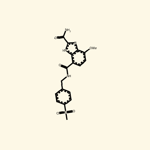 COc1ccc(C(=O)NCc2ccc(S(C)(=O)=O)cc2)c2[nH]c(C(N)=O)nc12